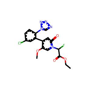 CCOC(=O)C(F)n1cc(OC)c(-c2cc(Cl)ccc2-n2cnnn2)cc1=O